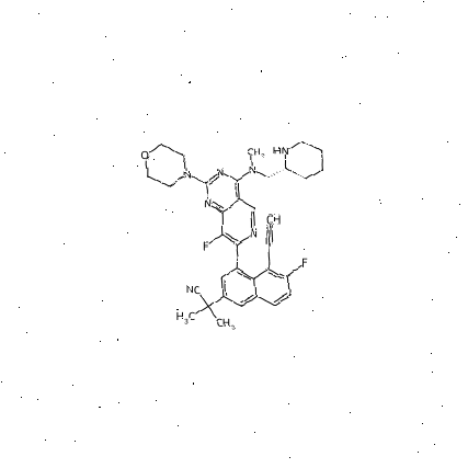 C#Cc1c(F)ccc2cc(C(C)(C)C#N)cc(-c3ncc4c(N(C)C[C@H]5CCCCN5)nc(N5CCOCC5)nc4c3F)c12